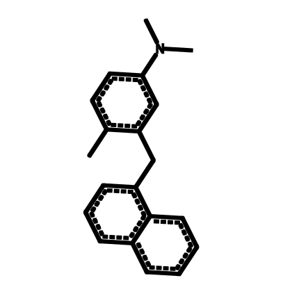 Cc1ccc(N(C)C)cc1Cc1cccc2ccccc12